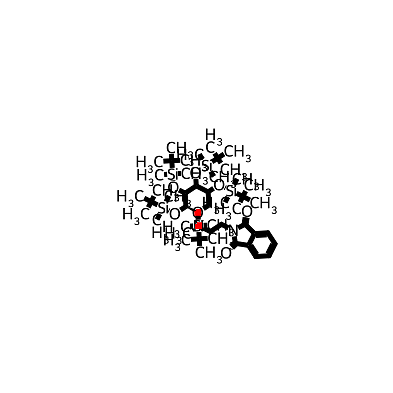 CN(CCN1C(=O)c2ccccc2C1=O)C[C@@H](O[Si](C)(C)C(C)(C)C)C(O[Si](C)(C)C(C)(C)C)C(O[Si](C)(C)C(C)(C)C)C(CO[Si](C)(C)C(C)(C)C)O[Si](C)(C)C(C)(C)C